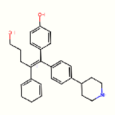 OCCC/C(C1=CCCC=C1)=C(\c1ccc(O)cc1)c1ccc(C2CCNCC2)cc1